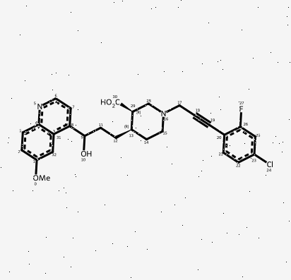 COc1ccc2nccc(C(O)CC[C@@H]3CCN(CC#Cc4ccc(Cl)cc4F)C[C@@H]3C(=O)O)c2c1